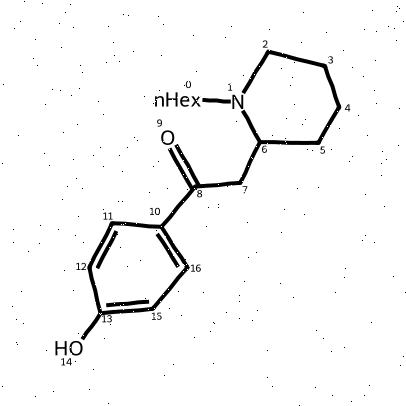 CCCCCCN1CCCCC1CC(=O)c1ccc(O)cc1